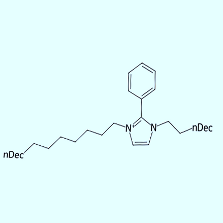 CCCCCCCCCCCCCCCCC[n+]1ccn(CCCCCCCCCCCC)c1-c1ccccc1